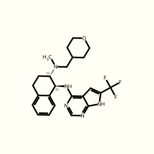 CN(CC1CCOCC1)[C@H]1CCc2ccccc2[C@@H]1Nc1ncnc2[nH]c(C(F)(F)F)cc12